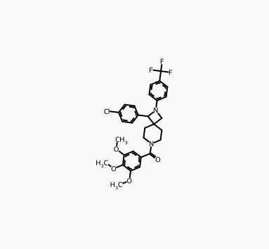 COc1cc(C(=O)N2CCC3(CC2)CN(c2ccc(C(F)(F)F)cc2)C3c2ccc(Cl)cc2)cc(OC)c1OC